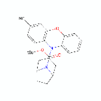 CC(C)(C)OC(=O)N1C2CCC1CC(N1c3ccccc3Oc3cc(C#N)ccc31)C2